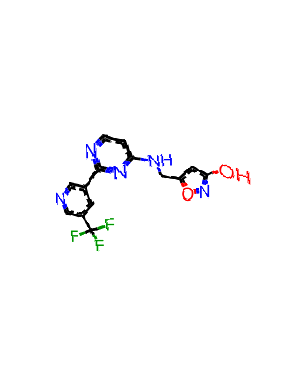 Oc1cc(CNc2ccnc(-c3cncc(C(F)(F)F)c3)n2)on1